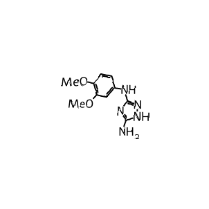 COc1ccc(Nc2n[nH]c(N)n2)cc1OC